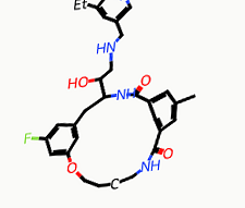 CCc1cncc(CNCC(O)C2Cc3cc(F)cc(c3)OCCCCNC(=O)c3cc(C)cc(c3)C(=O)N2)c1